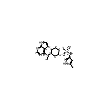 Cc1cc(NS(=O)(=O)C[C@H]2CC[C@H](N(C)c3ncnc4[nH]ccc34)CC2)n[nH]1